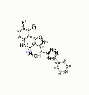 O/N=C(/Nc1ccc(F)c(Cl)c1)c1nonc1Cn1nnc(-c2ccncc2)n1